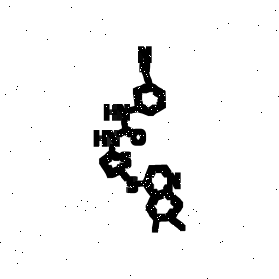 Cc1cc2nccc(Sc3ccc(NC(=O)Nc4cccc(C#N)c4)s3)c2cc1C